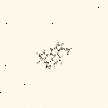 Cc1cc(-c2cc(O[C@H](C)[C@H]3CNC(=O)C3)c3c(c2)ncn3C2CC2)nn1C